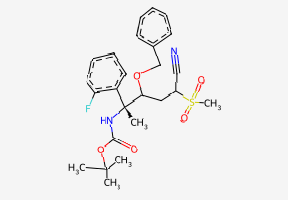 CC(C)(C)OC(=O)N[C@](C)(c1ccccc1F)C(CC(C#N)S(C)(=O)=O)OCc1ccccc1